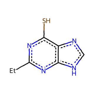 CCc1nc(S)c2nc[nH]c2n1